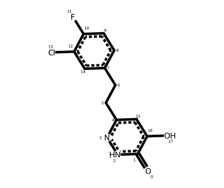 O=c1[nH]nc(CCc2ccc(F)c(Cl)c2)cc1O